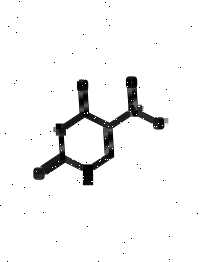 O=C1[N]C(=O)C([N+](=O)[O-])=CN1